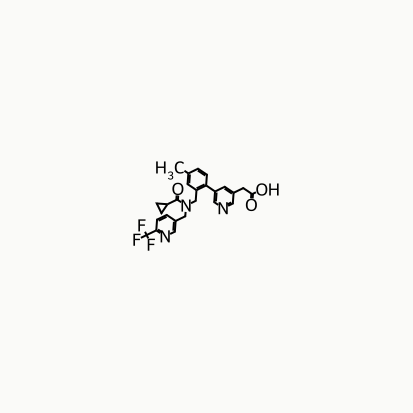 Cc1ccc(-c2cncc(CC(=O)O)c2)c(CN(Cc2ccc(C(F)(F)F)nc2)C(=O)C2CC2)c1